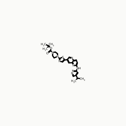 CC(C)c1cnnc(Nc2ccc3ncc(-c4cnc(N5CCN(C(=O)OC(C)(C)C)CC5)s4)cc3n2)c1